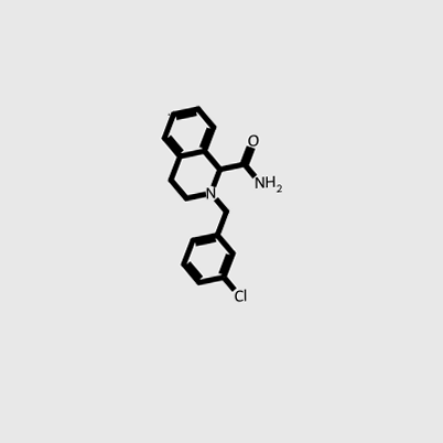 NC(=O)C1c2cc[c]cc2CCN1Cc1cccc(Cl)c1